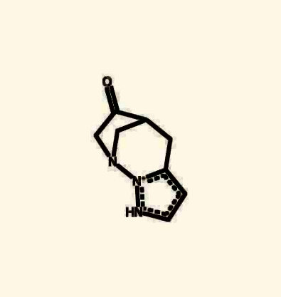 O=C1CN2CC1Cc1cc[nH][n+]12